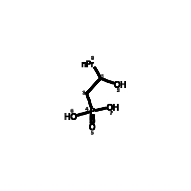 CCCC(O)CP(=O)(O)O